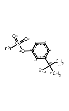 CCCS(=O)(=O)Oc1cccc(C(C)(C)CC)c1